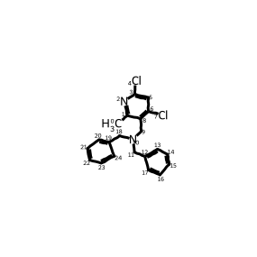 Cc1nc(Cl)cc(Cl)c1CN(Cc1ccccc1)Cc1ccccc1